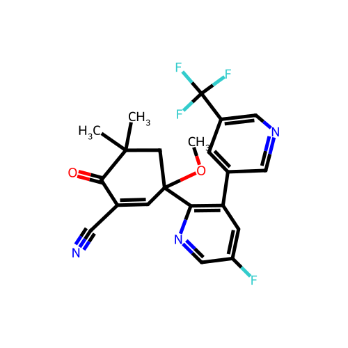 COC1(c2ncc(F)cc2-c2cncc(C(F)(F)F)c2)C=C(C#N)C(=O)C(C)(C)C1